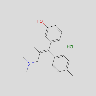 CC(CN(C)C)=C(c1ccc(C)cc1)c1cccc(O)c1.Cl